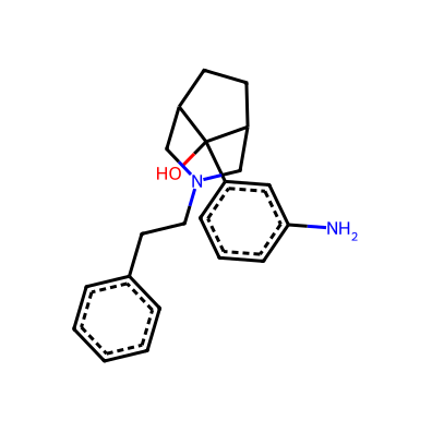 Nc1cccc(C2(O)C3CCC2CN(CCc2ccccc2)C3)c1